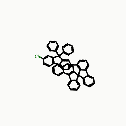 Clc1ccc2c(c1)C(c1ccccc1)(c1ccccc1)c1cc(-c3cccc4c3C3(c5ccccc5-4)c4ccccc4-c4c3ccc3ccccc43)ccc1-2